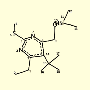 CCc1nc(SC)nc(CO[SiH](C)C)c1C(C)(C)C